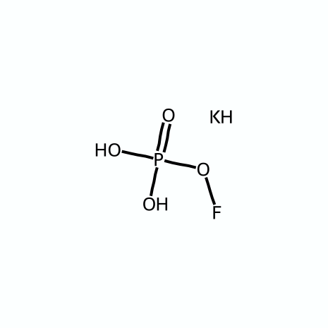 O=P(O)(O)OF.[KH]